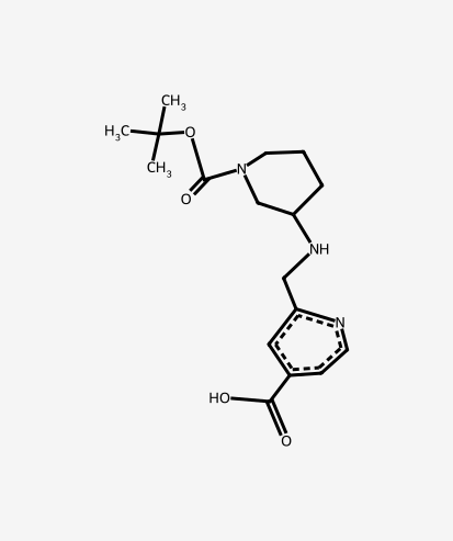 CC(C)(C)OC(=O)N1CCCC(NCc2cc(C(=O)O)ccn2)C1